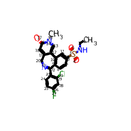 CCNS(=O)(=O)c1ccc2c(c1)-c1cn(C)c(=O)cc1CN=C2c1ccc(F)cc1Cl